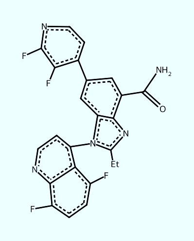 CCc1nc2c(C(N)=O)cc(-c3ccnc(F)c3F)cc2n1-c1ccnc2c(F)ccc(F)c12